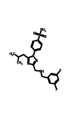 CC(C)Cc1nc(CNCc2cc(F)cc(F)c2)nn1-c1ccc(S(N)(=O)=O)cc1